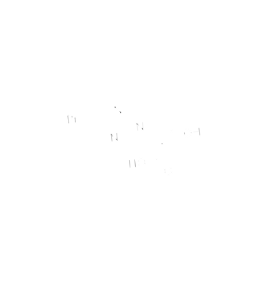 CC1(C(=O)O)CN(c2ncc(Br)cn2)CCC1O